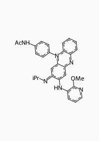 COc1ncccc1Nc1cc2nc3ccccc3n(-c3ccc(NC(C)=O)cc3)c-2c/c1=N\C(C)C